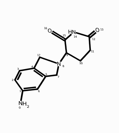 Nc1ccc2c(c1)CN(C1CCC(=O)NC1=O)C2